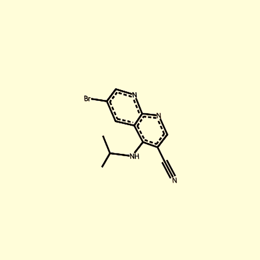 CC(C)Nc1c(C#N)cnc2ncc(Br)cc12